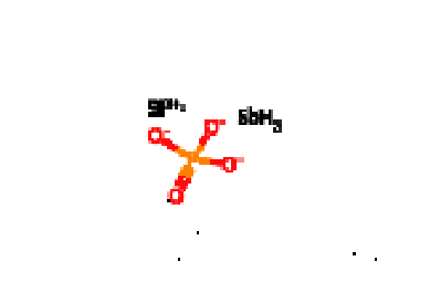 O=P([O-])([O-])[O-].[Bi+3].[SbH3]